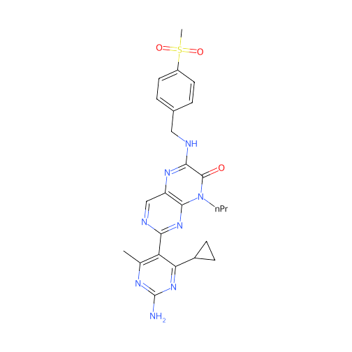 CCCn1c(=O)c(NCc2ccc(S(C)(=O)=O)cc2)nc2cnc(-c3c(C)nc(N)nc3C3CC3)nc21